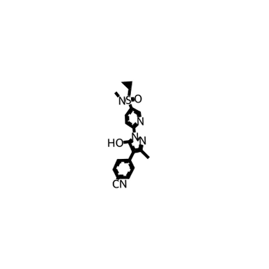 CN=S(=O)(C1=CC1)c1ccc(-n2nc(C)c(-c3ccc(C#N)cc3)c2O)nc1